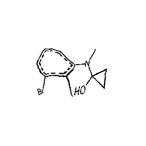 Cc1c(Br)cccc1N(C)C1(O)CC1